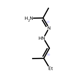 CC/C(C)=C/N/N=C(/C)N